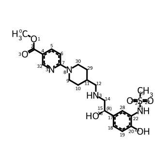 COC(=O)c1ccc(N2CCC(CNC[C@H](O)c3ccc(O)c(NS(C)(=O)=O)c3)CC2)nc1